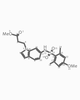 COC(=O)CCn1ccc2ccc(NS(=O)(=O)c3c(C)cc(OC)cc3C)cc21